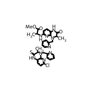 CC1C(=S)Nc2ccc(Cl)nc2N1Cc1ccccn1.COC(=O)C(C)Nc1ccc2c(n1)N(Cc1ccccn1)C(C)C(=O)N2